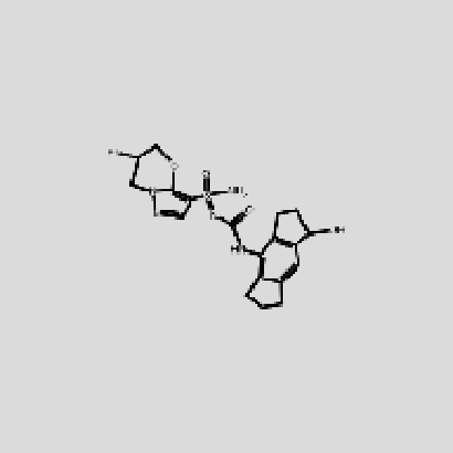 CCC1COc2c(S(N)(=O)=NC(=O)Nc3c4c(cc5c3CCC5O)CCC4)cnn2C1